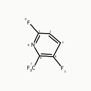 Fc1ccc(F)c(C(F)(F)F)n1